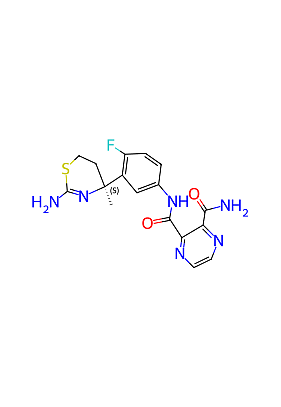 C[C@@]1(c2cc(NC(=O)c3nccnc3C(N)=O)ccc2F)CCSC(N)=N1